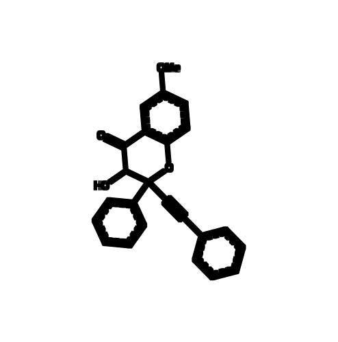 COc1ccc2c(c1)C(=O)C(O)C(C#Cc1ccccc1)(c1ccccc1)O2